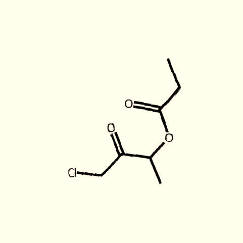 CCC(=O)OC(C)C(=O)CCl